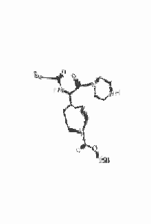 CC(C)(C)OC(=O)N1CCC(C(NC(=O)C(C)(C)C)C(=O)N2CCNCC2)CC1